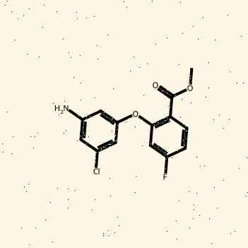 COC(=O)c1ccc(F)cc1Oc1cc(N)cc(Cl)c1